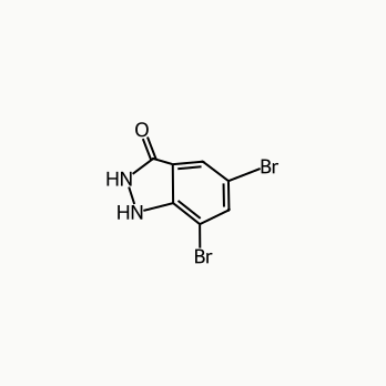 O=c1[nH][nH]c2c(Br)cc(Br)cc12